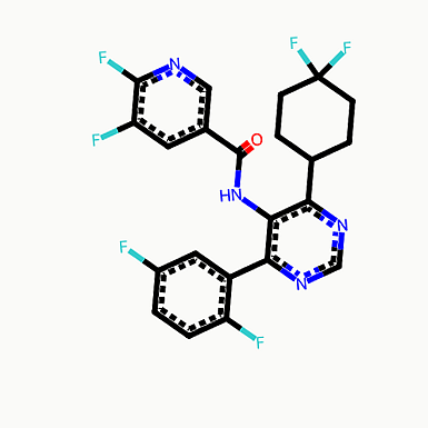 O=C(Nc1c(-c2cc(F)ccc2F)ncnc1C1CCC(F)(F)CC1)c1cnc(F)c(F)c1